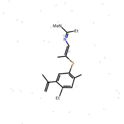 C=C(C)c1cc(S/C(C)=C/N=C(\CC)NC)c(C)cc1CC